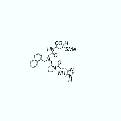 CSCCC(NC(=O)CN(Cc1cccc2ccccc12)C[C@@H]1CCCN1C(=O)[C@@H](N)Cc1c[nH]cn1)C(=O)O